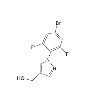 OCc1cnn(-c2c(F)cc(Br)cc2F)c1